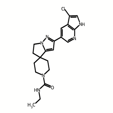 CCNC(=O)N1CCC2(CC1)CCn1nc(-c3cnc4[nH]cc(Cl)c4c3)cc12